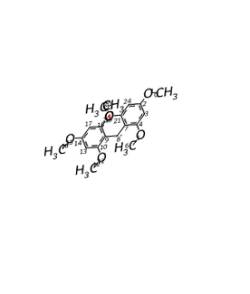 COc1cc(OC)c([CH]c2c(OC)cc(OC)cc2OC)c(OC)c1